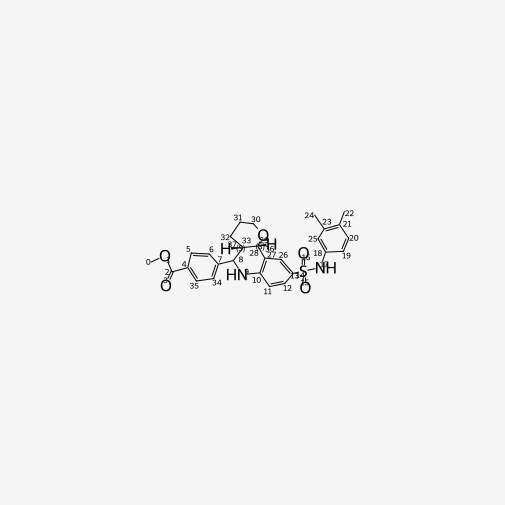 COC(=O)c1ccc(C2Nc3ccc(S(=O)(=O)Nc4ccc(C)c(C)c4)cc3[C@H]3OCCC[C@@H]23)cc1